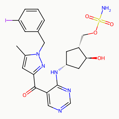 Cc1cc(C(=O)c2cncnc2N[C@@H]2C[C@H](COS(N)(=O)=O)[C@@H](O)C2)nn1Cc1cccc(I)c1